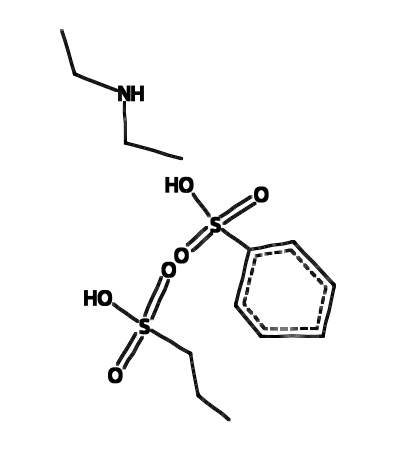 CCCS(=O)(=O)O.CCNCC.O=S(=O)(O)c1ccccc1